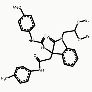 CCOC(CN1C(=O)C(CC(=O)Nc2ccc(C)cc2)(NC(=O)Nc2ccc(OC)cc2)c2ccccc21)OCC